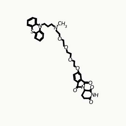 CN(CCCN1c2ccccc2Sc2ccccc21)CCOCCOCCOCCOc1ccc2c(c1)C(=O)N(C1CCC(=O)NC1=O)C2=O